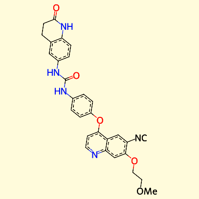 [C-]#[N+]c1cc2c(Oc3ccc(NC(=O)Nc4ccc5c(c4)CCC(=O)N5)cc3)ccnc2cc1OCCOC